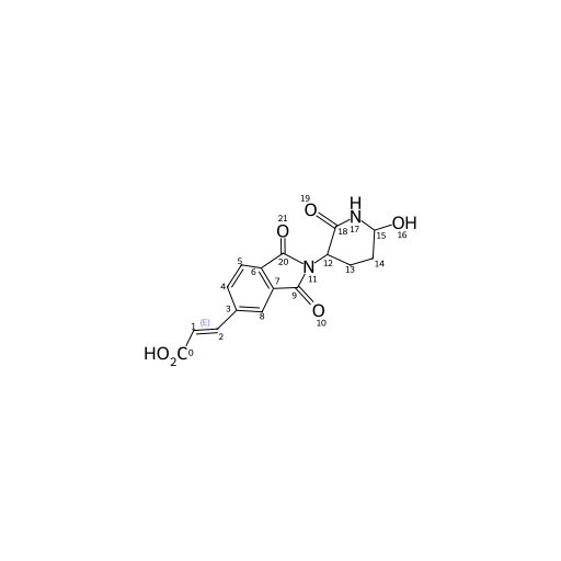 O=C(O)/C=C/c1ccc2c(c1)C(=O)N(C1CCC(O)NC1=O)C2=O